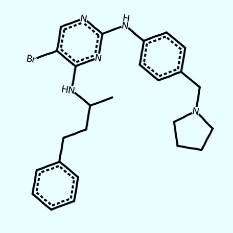 CC(CCc1ccccc1)Nc1nc(Nc2ccc(CN3CCCC3)cc2)ncc1Br